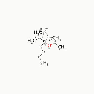 CCCC[Si](OCC)(C(C)C)C(C)C